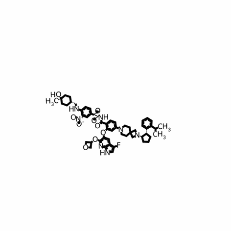 CC(C)c1ccccc1[C@@H]1CCC[C@@H]1N1CC2(CCN(c3ccc(C(=O)NS(=O)(=O)c4ccc(NC[C@H]5CC[C@](C)(O)CC5)c([N+](=O)[O-])c4)c(Oc4cc5c(F)c[nH]c5nc4OC4COC4)c3)CC2)C1